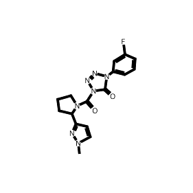 Cn1ccc(C2CCCN2C(=O)n2nnn(-c3cccc(F)c3)c2=O)n1